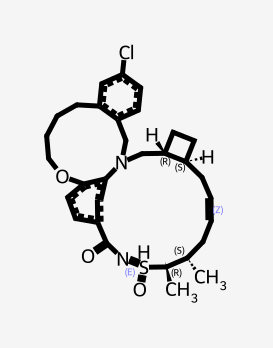 C[C@@H]1[C@@H](C)C/C=C\C[C@@H]2CC[C@H]2CN2Cc3ccc(Cl)cc3CCCCOc3ccc(cc32)C(=O)/N=[SH]\1=O